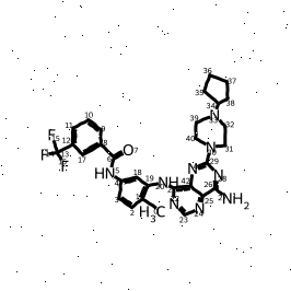 Cc1ccc(NC(=O)c2cccc(C(F)(F)F)c2)cc1Nc1ncnc2c(N)nc(N3CCN(C4CCCC4)CC3)nc12